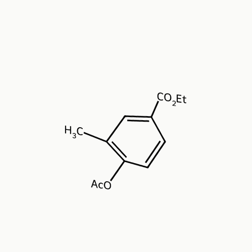 CCOC(=O)c1ccc(OC(C)=O)c(C)c1